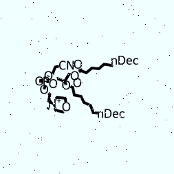 CCCCCCCCCCCCCCCC(=O)OCC(COP(=O)(OCCC#N)OCC[N+]1(C)CCOCC1)OC(=O)CCCCCCCCCCCCCCC